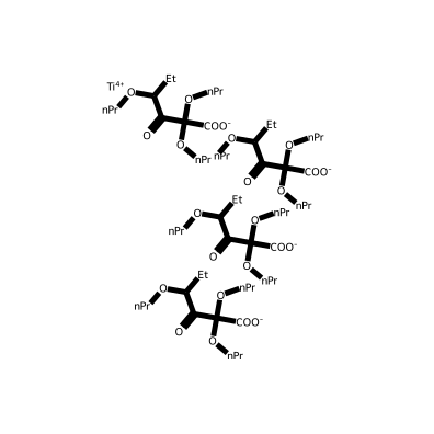 CCCOC(CC)C(=O)C(OCCC)(OCCC)C(=O)[O-].CCCOC(CC)C(=O)C(OCCC)(OCCC)C(=O)[O-].CCCOC(CC)C(=O)C(OCCC)(OCCC)C(=O)[O-].CCCOC(CC)C(=O)C(OCCC)(OCCC)C(=O)[O-].[Ti+4]